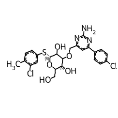 Cc1ccc(S[C@H]2OC(CO)[C@H](O)C(OCc3cc(-c4ccc(Cl)cc4)nc(N)n3)C2O)cc1Cl